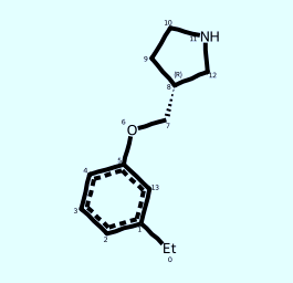 CCc1cccc(OC[C@@H]2CCNC2)c1